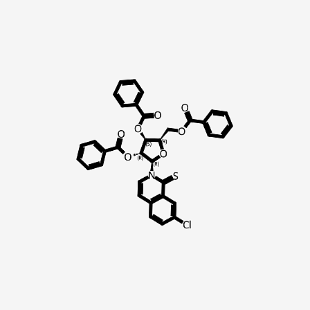 O=C(OC[C@H]1O[C@@H](n2ccc3ccc(Cl)cc3c2=S)[C@H](OC(=O)c2ccccc2)[C@H]1OC(=O)c1ccccc1)c1ccccc1